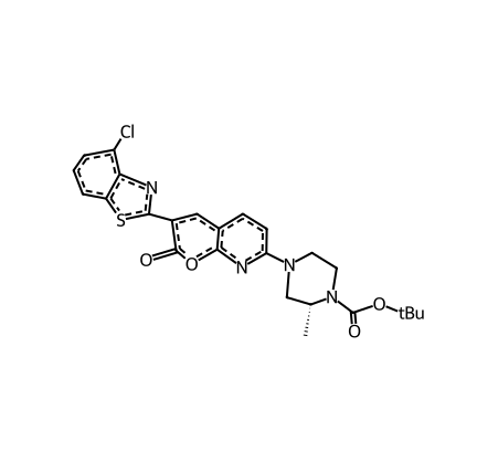 C[C@@H]1CN(c2ccc3cc(-c4nc5c(Cl)cccc5s4)c(=O)oc3n2)CCN1C(=O)OC(C)(C)C